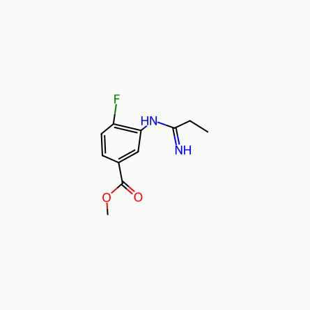 CCC(=N)Nc1cc(C(=O)OC)ccc1F